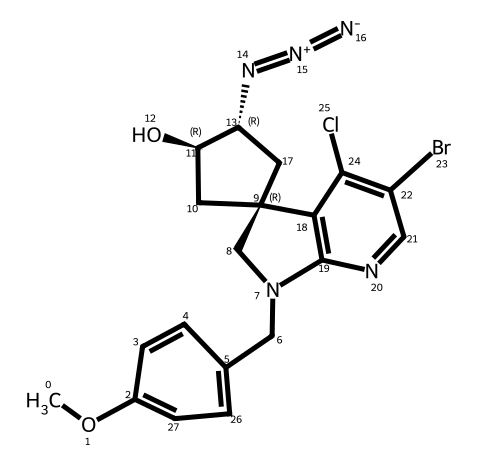 COc1ccc(CN2C[C@]3(C[C@@H](O)[C@H](N=[N+]=[N-])C3)c3c2ncc(Br)c3Cl)cc1